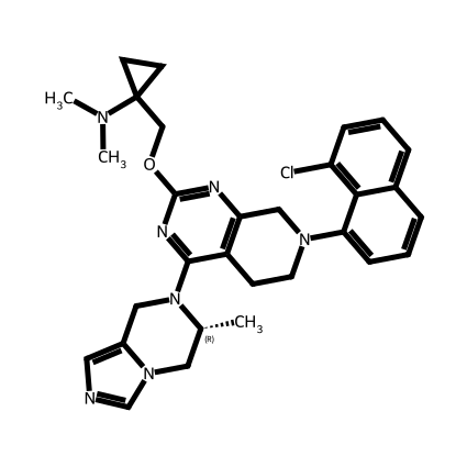 C[C@@H]1Cn2cncc2CN1c1nc(OCC2(N(C)C)CC2)nc2c1CCN(c1cccc3cccc(Cl)c13)C2